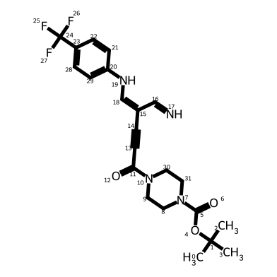 CC(C)(C)OC(=O)N1CCN(C(=O)C#C/C(C=N)=C/Nc2ccc(C(F)(F)F)cc2)CC1